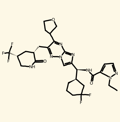 CCn1nccc1C(=O)N[C@H](c1cn2nc(C[C@H]3C[C@@H](C(F)(F)F)CNC3=O)c(C3CCOC3)nc2n1)[C@@H]1CCCC(F)(F)C1